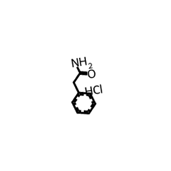 Cl.NC(=O)Cc1ccccc1